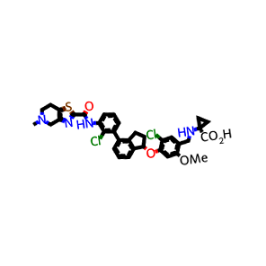 COc1cc(OC2CCc3c(-c4cccc(NC(=O)c5nc6c(s5)CCN(C)C6)c4Cl)cccc32)c(Cl)cc1CNC1(C(=O)O)CC1